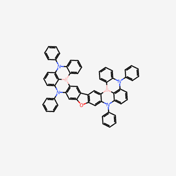 c1ccc(N2c3ccccc3B3c4cc5c(cc4N(c4ccccc4)c4cccc2c43)oc2cc3c(cc25)B2c4ccccc4N(c4ccccc4)c4cccc(c42)N3c2ccccc2)cc1